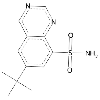 CC(C)(C)c1cc(S(N)(=O)=O)c2ncncc2c1